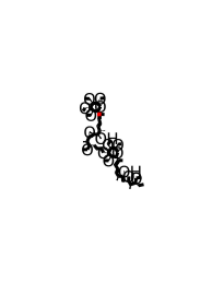 CC[C@H](OC)[C@@H](C)[C@H]1C[C@@](O)([C@@H](C)/C=C/C=C(\C)[C@H]2O[C@H](OC)[C@H](OC)[C@@H](OCCC[C@H](OC)[C@@H](C)[C@@H]3O[C@H]3[C@H](O)[C@@H](C)/C=C/C=C(\C)[C@H]3O[C@@H](OC)[C@H](OC)[C@@H](OC)[C@@H]3OC)[C@@H]2OC)O1